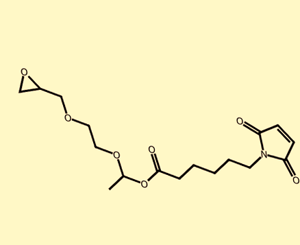 CC(OCCOCC1CO1)OC(=O)CCCCCN1C(=O)C=CC1=O